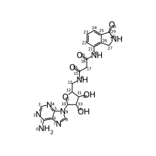 Nc1ncnc2c1ncn2C1OC(CNC(=O)CC(=O)Nc2cccc3c2CNC3=O)C(O)C1O